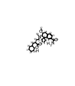 CCC1(CC)c2cc(C(N)=O)ccc2C[C@H](OC)[C@H]1N(C)CC[C@H](CC1CCCCC1)C(=O)O